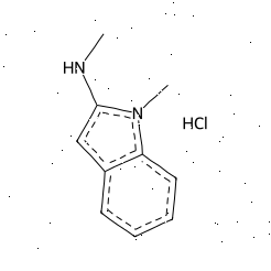 CNc1cc2ccccc2n1C.Cl